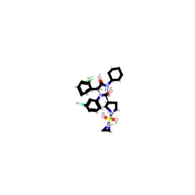 O=C(NC1CCCCC1)[C@@H](c1ccccc1Cl)N(C(=O)[C@H]1CCN(S(=O)(=O)N2CC2)C1)c1cccc(F)c1